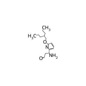 CCCC(CCC)COc1cccc(C(N)CC=O)n1